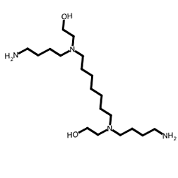 NCCCCN(CCO)CCCCCCCN(CCO)CCCCN